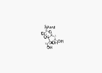 CCCCCC(CC)OC(CCO)C(=O)C(O)CO